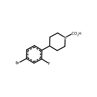 O=C(O)N1CCC(c2ccc(Br)cc2F)CC1